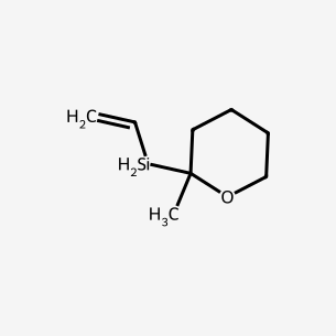 C=C[SiH2]C1(C)CCCCO1